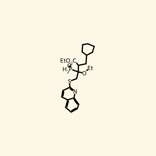 CCOC(=O)C(CC1CCCCC1)C(CSc1ccc2ccccc2n1)(OCC)[PH2]=O